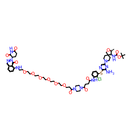 C[C@@H]1OCC2(CCN(c3cnc(Sc4cccc(NC(=O)CCC(=O)N5CCN(C(=O)CCOCCOCCOCCOCCOCCOCCNc6cccc7cnn(C8CCC(=O)NC8=O)c(=O)c67)CC5)c4Cl)c(N)n3)CC2)[C@@H]1NC(=O)OC(C)(C)C